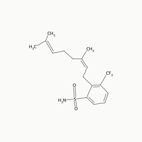 CC(C)=CCCC(C)=CCc1c(C(F)(F)F)cccc1S(N)(=O)=O